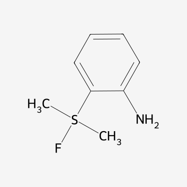 CS(C)(F)c1ccccc1N